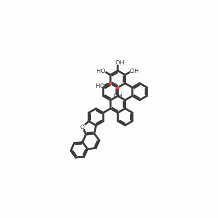 Oc1c(O)c(O)c(-c2ccccc2-c2c3ccccc3c(-c3ccc4oc5c6ccccc6ccc5c4c3)c3ccccc23)c(O)c1O